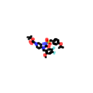 COc1cc(F)c(F)cc1CN(C(=O)NS(=O)(=O)Cc1ccc(OC(C)C)cc1)C1CCN(C(=O)OC(C)(C)C)CC1